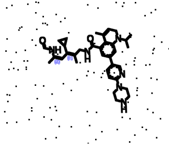 CC1=CCN(C(C)C)c2cc(-c3ccc(N4CCNCC4)nc3)cc(C(=O)NC/C(C)=C(/C=C(/C)NC=O)C3CC3)c21